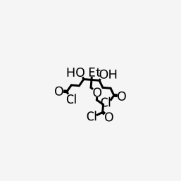 CCC(COCCC(=O)Cl)(C(O)CCC(=O)Cl)C(O)CCC(=O)Cl